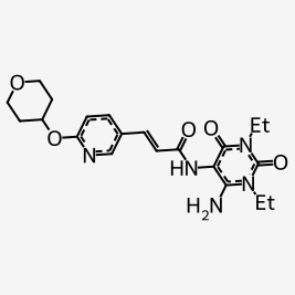 CCn1c(N)c(NC(=O)/C=C/c2ccc(OC3CCOCC3)nc2)c(=O)n(CC)c1=O